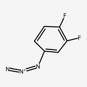 [N-]=[N+]=Nc1ccc(F)c(F)c1